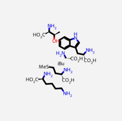 CC[C@H](C)[C@H](N)C(=O)O.CSCC[C@H](N)C(=O)O.C[C@@H](O)[C@H](N)C(=O)O.NCCCC[C@H](N)C(=O)O.N[C@@H](Cc1c[nH]c2ccccc12)C(=O)O